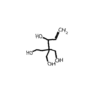 C=CC(O)C(CO)(CO)CO